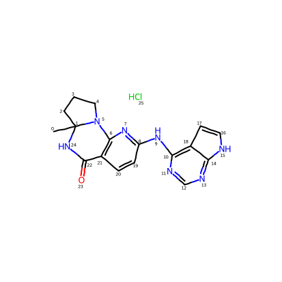 CC12CCCN1c1nc(Nc3ncnc4[nH]ccc34)ccc1C(=O)N2.Cl